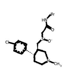 CC(C)NC(=O)C[S+]([O-])C[C@H]1CN(C)CC[C@@H]1c1ccc(Cl)cc1